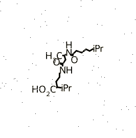 CC(C)CCCCC(=O)NC(C)CC(=O)NCCCC(C(=O)O)C(C)C